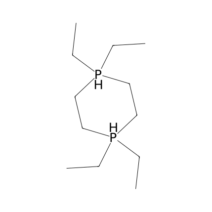 CC[PH]1(CC)CC[PH](CC)(CC)CC1